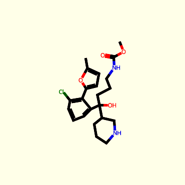 COC(=O)NCCCC(O)(c1cccc(Cl)c1-c1ccc(C)o1)C1CCCNC1